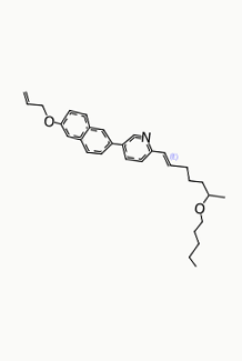 C=CCOc1ccc2cc(-c3ccc(/C=C/CCCC(C)OCCCCC)nc3)ccc2c1